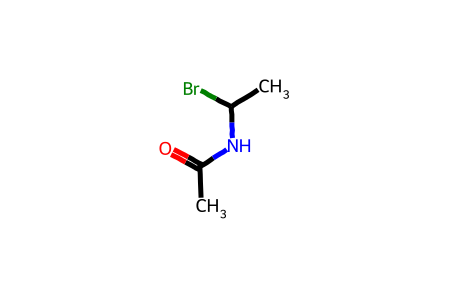 CC(=O)NC(C)Br